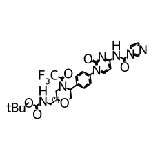 CC(C)(C)OC(=O)NC[C@H]1CN(C(=O)C(F)(F)F)C(c2ccc(-n3ccc(NC(=O)n4ccnc4)nc3=O)cc2)CO1